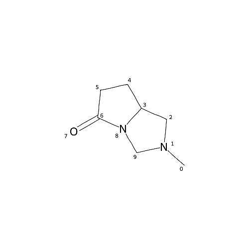 CN1CC2CCC(=O)N2C1